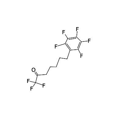 O=C(CCCCCc1c(F)c(F)c(F)c(F)c1F)C(F)(F)F